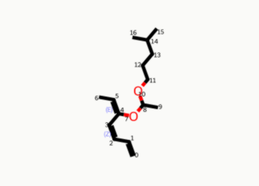 C=C/C=C\C(=C/C)OC(C)OCCCC(C)C